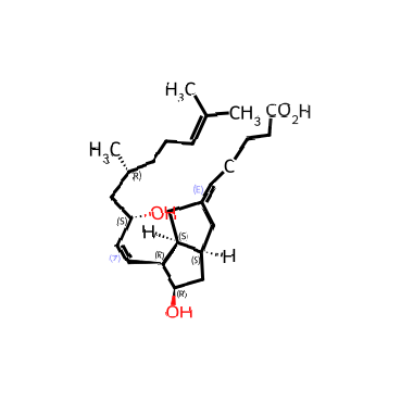 CC(C)=CCC[C@@H](C)C[C@H](O)/C=C\[C@H]1[C@H]2C/C(=C/CCCC(=O)O)C[C@H]2C[C@H]1O